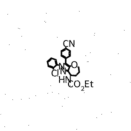 CCOC(=O)NC1CCCOc2c1nn(-c1ccccc1Cl)c2-c1ccc(C#N)cc1